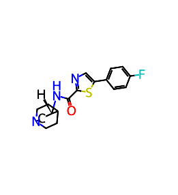 O=C(N[C@H]1CN2CCC1CC2)c1ncc(-c2ccc(F)cc2)s1